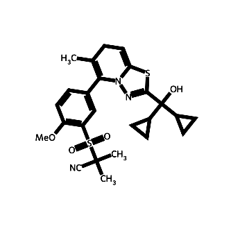 COc1ccc(C2=C(C)CC=C3SC(C(O)(C4CC4)C4CC4)=NN32)cc1S(=O)(=O)C(C)(C)C#N